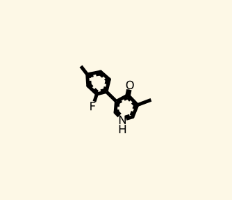 Cc1ccc(-c2c[nH]cc(C)c2=O)c(F)c1